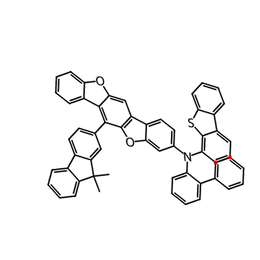 CC1(C)c2ccccc2-c2ccc(-c3c4oc5cc(N(c6ccccc6-c6ccccc6)c6cccc7c6sc6ccccc67)ccc5c4cc4oc5ccccc5c34)cc21